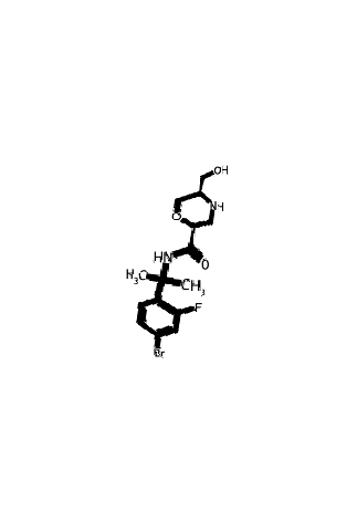 CC(C)(NC(=O)[C@@H]1CN[C@H](CO)CO1)c1ccc(Br)cc1F